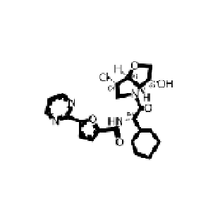 O=C(N[C@H](C(=O)N1C[C@H](Cl)[C@H]2OC[C@H](O)[C@H]21)C1CCCCC1)c1ccc(-c2ncccn2)o1